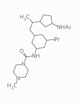 CC(=O)NC1CCC(C(C)CC2CC(NC(=O)N3CCN(C)CC3)CC(C(C)C)C2)C1